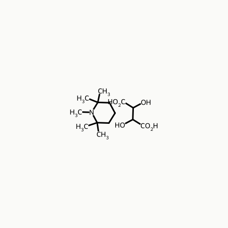 CN1C(C)(C)CCCC1(C)C.O=C(O)C(O)C(O)C(=O)O